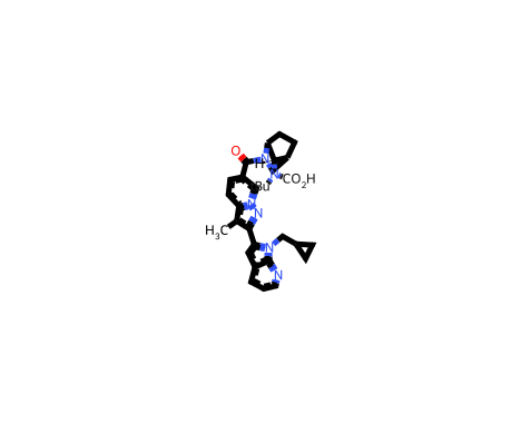 Cc1c(-c2cc3cccnc3n2CC2CC2)nn2cc(C(=O)N3CC4CCC3[C@@H]4N(C(=O)O)C(C)(C)C)ccc12